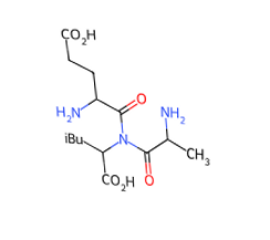 CCC(C)C(C(=O)O)N(C(=O)C(C)N)C(=O)C(N)CCC(=O)O